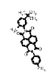 Cc1ccc(N2C(=O)c3ccc4c5c(ccc(c35)C2=O)C(=O)N(c2cc(C(C)(C)C)ccc2C)C4=O)cc1